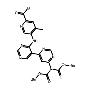 CCC(=O)c1cc(C)c(Nc2ncncc2-c2cc(N(C(=O)OC(C)(C)C)C(=O)OC(C)(C)C)ncn2)cn1